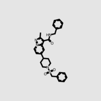 Cc1nn2ccc(C3CCN(S(=O)(=O)Cc4ccccc4)CC3)cc2c1C(=O)NCc1ccccc1